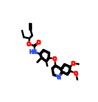 C#CCC(CC)OC(=O)Nc1ccc(Oc2ccnc3cc(OC)c(OC)cc23)c(C)c1C